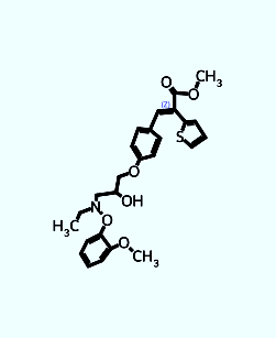 CCN(CC(O)COc1ccc(/C=C(/C(=O)OC)c2cccs2)cc1)Oc1ccccc1OC